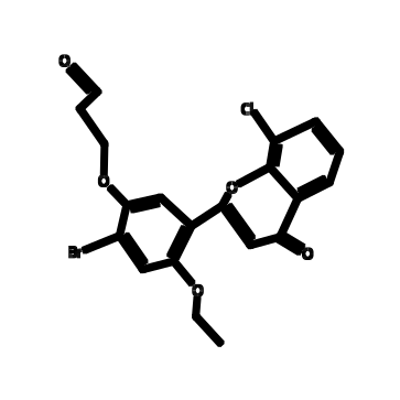 CCOc1cc(Br)c(OCCC=O)cc1-c1cc(=O)c2cccc(Cl)c2o1